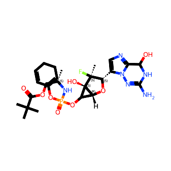 C[C@@H](COC(=O)C(C)(C)C)NP(=O)(OC1=CCCC=C1)OC1[C@H]2O[C@@H](c3cnc4n3N=C(N)NC4O)[C@](C)(F)[C@@]12O